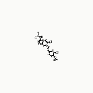 CC(C)Oc1ncc(OCc2cc3onc(N[S+](C)[O-])c3cc2Cl)cc1Cl